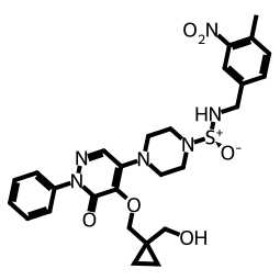 Cc1ccc(CN[S@@+]([O-])N2CCN(c3cnn(-c4ccccc4)c(=O)c3OCC3(CO)CC3)CC2)cc1[N+](=O)[O-]